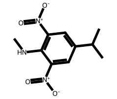 CNc1c([N+](=O)[O-])cc(C(C)C)cc1[N+](=O)[O-]